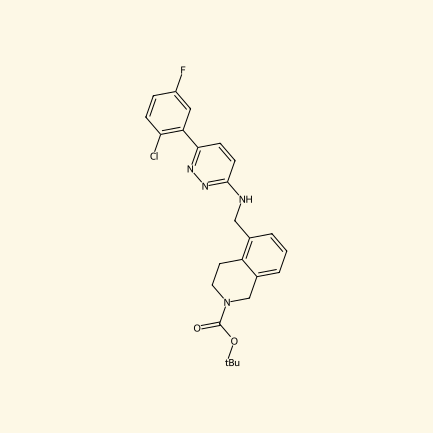 CC(C)(C)OC(=O)N1CCc2c(CNc3ccc(-c4cc(F)ccc4Cl)nn3)cccc2C1